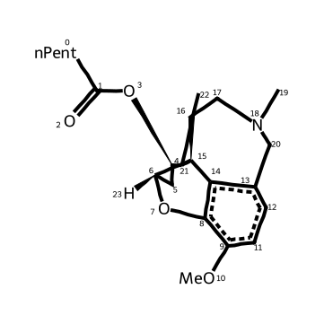 CCCCCC(=O)O[C@@H]1C[C@@H]2Oc3c(OC)ccc4c3[C@]2(CCN(C)C4)C1C